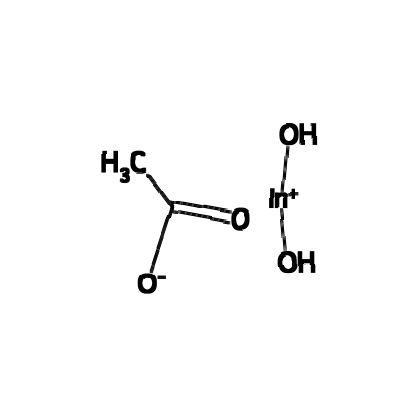 CC(=O)[O-].[OH][In+][OH]